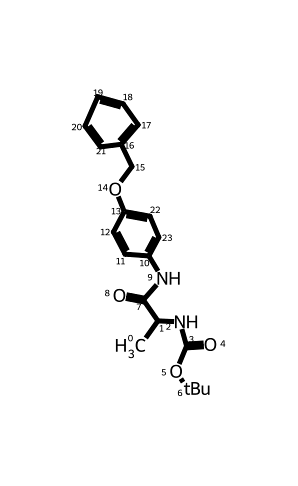 CC(NC(=O)OC(C)(C)C)C(=O)Nc1ccc(OCc2ccccc2)cc1